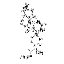 Cc1nc(N2CCC(C(O)CCO)CC2)c2c(C)c(C)n(-c3c(C)cc(Br)cc3C)c2n1